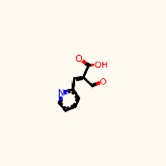 O=[C]/C(=C\c1ccccn1)C(=O)O